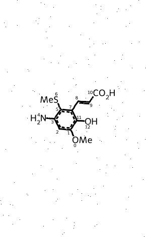 COc1cc(N)c(SC)c(/C=C/C(=O)O)c1O